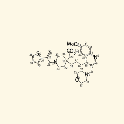 COc1ccc2ncc(CN3CCOCC3)c(CCCC3(CC(=O)O)CCN(CC(=S)c4cccs4)CC3)c2c1